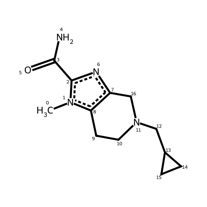 Cn1c(C(N)=O)nc2c1CCN(CC1CC1)C2